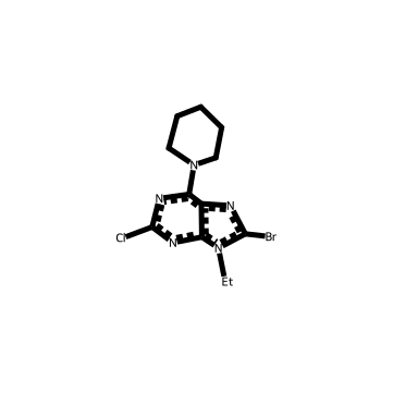 CCn1c(Br)nc2c(N3CCCCC3)nc(Cl)nc21